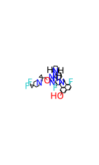 C#Cc1c(F)ccc2cc(O)cc(-c3nc4c5c(nc(OCC6(CN7CCC8(CC7)CC8(F)F)CC6)nc5c3F)N3C[C@H]5CC[C@H](N5)[C@H]3CC4)c12